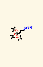 C[Si](C)(C)O[Si](CCCN=[N+]=[N-])(O[Si](C)(C)C)O[Si](C)(C)C